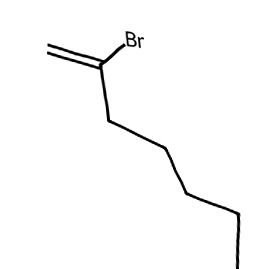 C=C(Br)CCCCO